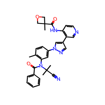 Cc1ccc(-n2cc(-c3cnccc3NC(=O)C3(C)COC3)cn2)cc1N(C(=O)c1ccccc1)C(C)(C)C#N